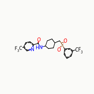 O=C(NC1CCC(CS(=O)(=O)c2cccc(C(F)(F)F)c2)CC1)c1ccc(C(F)(F)F)cn1